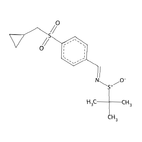 CC(C)(C)[S+]([O-])N=Cc1ccc(S(=O)(=O)CC2CC2)cc1